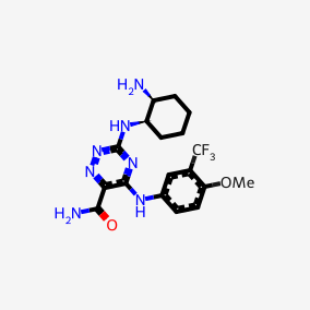 COc1ccc(Nc2nc(N[C@@H]3CCCC[C@@H]3N)nnc2C(N)=O)cc1C(F)(F)F